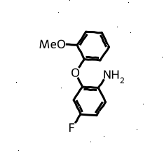 COc1ccccc1Oc1cc(F)ccc1N